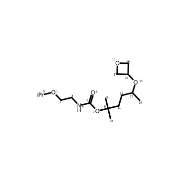 CC(C)OCCNC(=O)OC(C)(C)CCC(C)OC1COC1